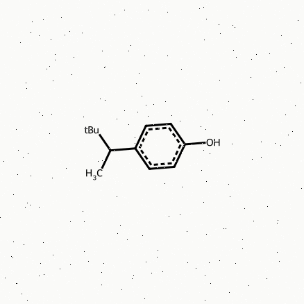 CC(c1ccc(O)cc1)C(C)(C)C